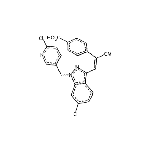 N#CC(=Cc1nn(Cc2ccc(Cl)nc2)c2cc(Cl)ccc12)c1ccc(C(=O)O)cc1